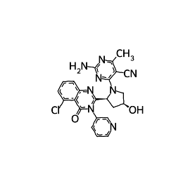 Cc1nc(N)nc(N2C[C@@H](O)C[C@H]2c2nc3cccc(Cl)c3c(=O)n2-c2cccnc2)c1C#N